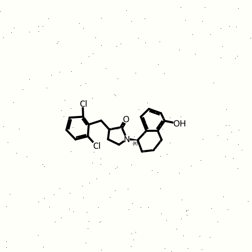 O=C1C(Cc2c(Cl)cccc2Cl)CCN1[C@@H]1CCCc2c(O)cccc21